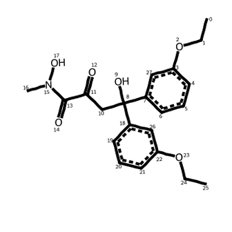 CCOc1cccc(C(O)(CC(=O)C(=O)N(C)O)c2cccc(OCC)c2)c1